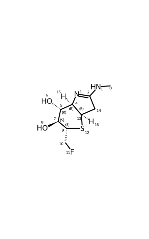 CNC1=N[C@@H]2[C@@H](O)[C@H](O)[C@@H](CF)S[C@@H]2C1